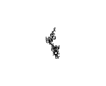 CCCCOC(=O)NOC(=O)CCCNS(=O)(=O)c1ccc(Br)cc1